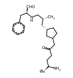 CC[C@H](C)C(N)CCC(=O)CC1CC[C@@H](C[C@@H](C)CN[C@H](C=O)Cc2ccccc2)C1